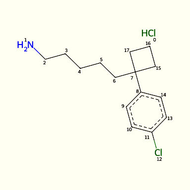 Cl.NCCCCCC1(c2ccc(Cl)cc2)CCC1